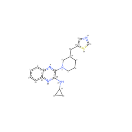 c1ccc2nc(N3CCCC(Cc4cncs4)C3)c(NC3CC3)nc2c1